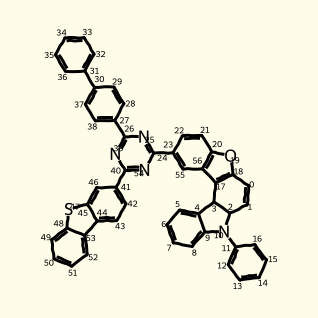 C1=CC2C(c3ccccc3N2c2ccccc2)c2c1oc1ccc(-c3nc(-c4ccc(-c5ccccc5)cc4)nc(-c4ccc5c(c4)sc4ccccc45)n3)cc21